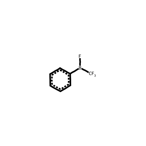 FB(c1ccccc1)C(F)(F)F